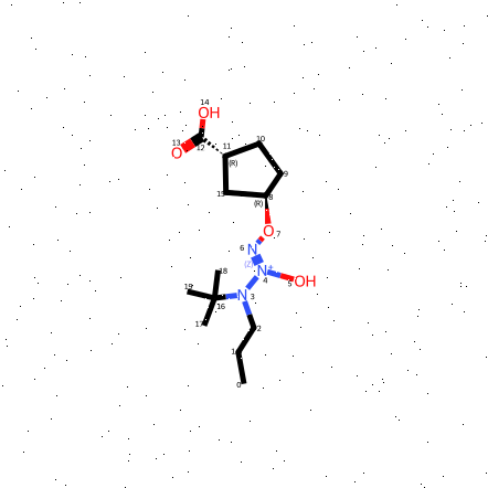 CCCN(/[N+](O)=N/O[C@@H]1CC[C@@H](C(=O)O)C1)C(C)(C)C